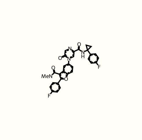 CNC(=O)c1c(-c2ccc(F)cc2)oc2ccc(-n3cc(C(=O)NC4(c5ccc(F)cc5)CC4)ncc3=O)cc12